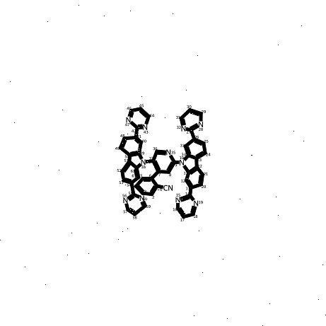 N#Cc1ccccc1-c1cc(-n2c3cc(-c4ncccn4)ccc3c3ccc(-c4ncccn4)cc32)ncc1-n1c2cc(-c3ncccn3)ccc2c2ccc(-c3ncccn3)cc21